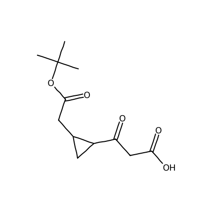 CC(C)(C)OC(=O)CC1CC1C(=O)CC(=O)O